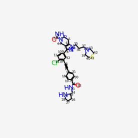 NC(=O)N1CCc2c(c(-c3ccc(Cl)c(C#Cc4ccc(C(=O)NC[C@@H]5CCCN5)cc4)c3)nn2CCCN2CCSCC2)C1